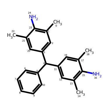 Cc1cc([C](c2ccccc2)c2cc(C)c(N)c(C)c2)cc(C)c1N